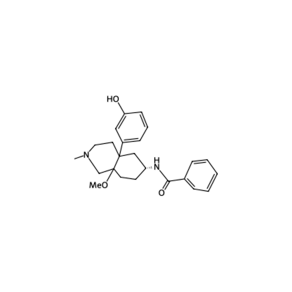 COC12CC[C@@H](NC(=O)c3ccccc3)CC1(c1cccc(O)c1)CCN(C)C2